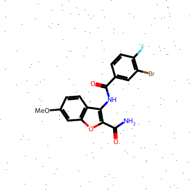 COc1ccc2c(NC(=O)c3ccc(F)c(Br)c3)c(C(N)=O)oc2c1